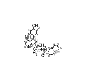 Cc1ccc(-c2nn(C(C)(C)CNC(=O)c3ccc4ccccc4n3)c3ncnc(N)c23)cc1